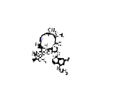 COc1cc(F)cc2c(O[C@@H]3C[C@H]4C(=O)N[C@]5(C(=O)NS(=O)(=O)C6(C)CC6)C[C@@H]5/C=C\CC[C@@H](C)C[C@@H](C)CC(=O)N4C3)nccc12